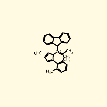 C[C](C)=[Zr+2]([CH]1C=CC=C1c1c(C)cccc1C)[CH]1c2ccccc2-c2ccccc21.[Cl-].[Cl-]